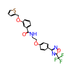 O=C(NCCOc1ccc(-c2noc(C(F)(F)F)n2)cc1)c1cccc(OCc2cccs2)c1